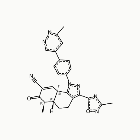 Cc1cc(-c2ccc(-n3nc(-c4nc(C)no4)c4c3[C@]3(C)C=C(C#N)C(=O)[C@H](C)[C@H]3CC4)cc2)cnn1